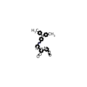 Cc1ccc(N(c2ccc(C)cc2)c2ccc(/C=C/c3ccnc(-c4cc(OC=O)cc(-c5cc(OC=O)ccn5)n4)c3)cc2)cc1